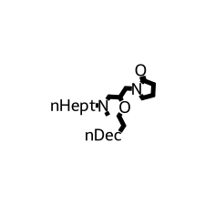 CCCCCCCCCCCCOC(CN(C)CCCCCCC)CN1CCCC1=O